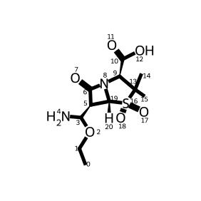 CCOC(N)[C@H]1C(=O)N2[C@@H](C(=O)O)C(C)(C)S(=O)(=O)[C@H]12